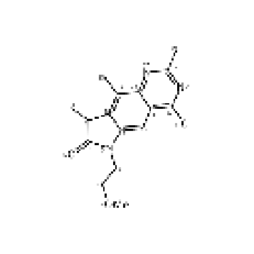 COCCN1C(=O)C(C)c2c1cc1c(Cl)nc(C)nc1c2C